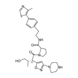 Cc1ncsc1-c1ccc(CCNC(=O)C2CCCN2C(=O)[C@H](c2cc(N3CCNCC3)no2)C(C)CO)cc1